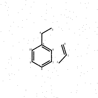 C=CC.CCc1ccccc1